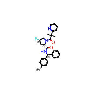 CC(C)c1ccc([C@@H](NC(=O)[C@@H]2C[C@@H](F)CN2C(=O)C(C)(C)c2ccccn2)c2ccccc2)cc1